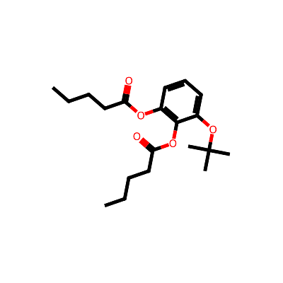 CCCCC(=O)Oc1cccc(OC(C)(C)C)c1OC(=O)CCCC